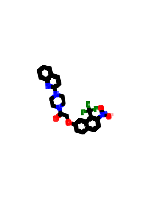 O=C(COc1ccc2ccc([N+](=O)[O-])c(C(F)(F)F)c2c1)N1CCN(c2ccc3ccccc3n2)CC1